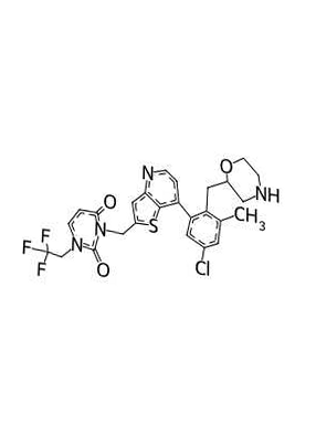 Cc1cc(Cl)cc(-c2ccnc3cc(Cn4c(=O)ccn(CC(F)(F)F)c4=O)sc23)c1CC1CNCCO1